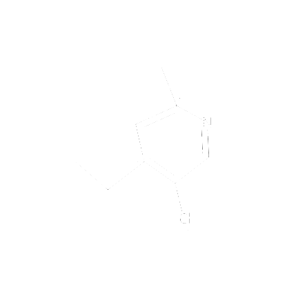 CCc1cc(C)ncc1Cl